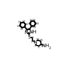 NC1CCN(CCSc2nc(-c3ccccc3)c(-c3ccccc3)[nH]2)CC1